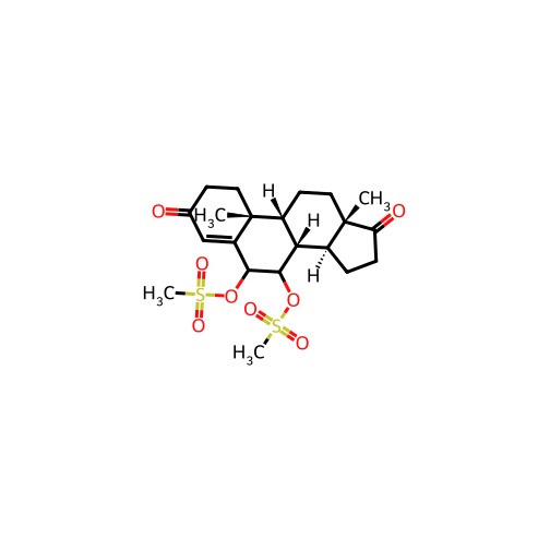 C[C@]12CCC(=O)C=C1C(OS(C)(=O)=O)C(OS(C)(=O)=O)[C@@H]1[C@H]2CC[C@]2(C)C(=O)CC[C@@H]12